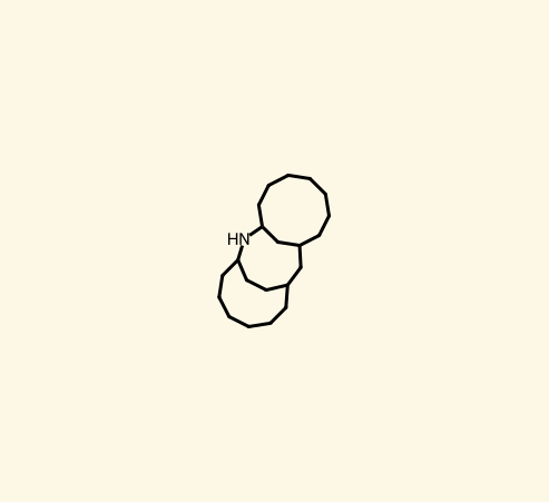 C1CCCC2CC3CCCCCCC(CC3)NC(CCC1)C2